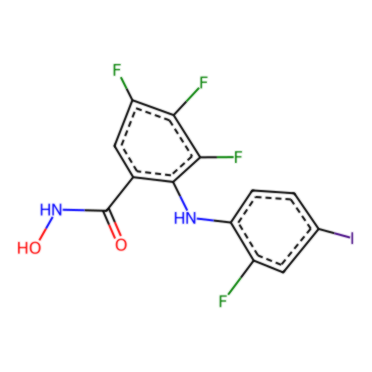 O=C(NO)c1cc(F)c(F)c(F)c1Nc1ccc(I)cc1F